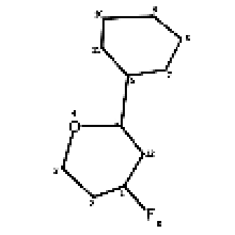 FC1CCOC(C2CCCCC2)C1